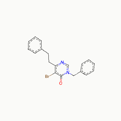 O=c1c(Br)c(CCc2ccccc2)ncn1Cc1ccccc1